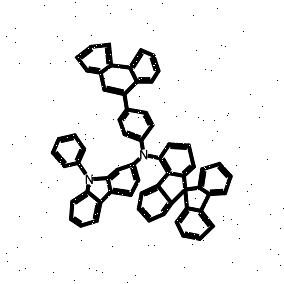 c1ccc(-n2c3ccccc3c3ccc(N(c4ccc(-c5cc6ccccc6c6ccccc56)cc4)c4cccc5c4-c4ccccc4C54c5ccccc5-c5ccccc54)cc32)cc1